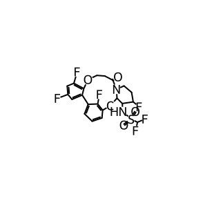 O=C1CCOc2c(F)cc(F)cc2-c2cccc(c2F)CC2C(NS(=O)(=O)C(F)F)C(F)CCN12